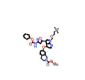 CC(C)(C)OC(=O)N1CCc2ccc(Oc3ccnc4c3c(-c3cc(NC(=O)Oc5ccccc5)no3)cn4COCC[Si](C)(C)C)cc2C1